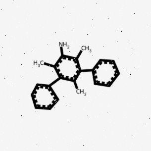 Cc1c(N)c(C)c(-c2ccccc2)c(C)c1-c1ccccc1